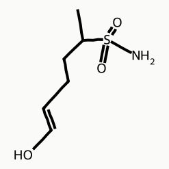 CC(CCC=CO)S(N)(=O)=O